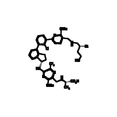 CC[C@H](CCO)CNCc1ccc(-c2cccc(-c3cccc4c3CC[C@@H]4Nc3nc(OC)c(CN[C@@H](C)C(=O)O)nc3C(F)(F)F)c2Cl)nc1OC